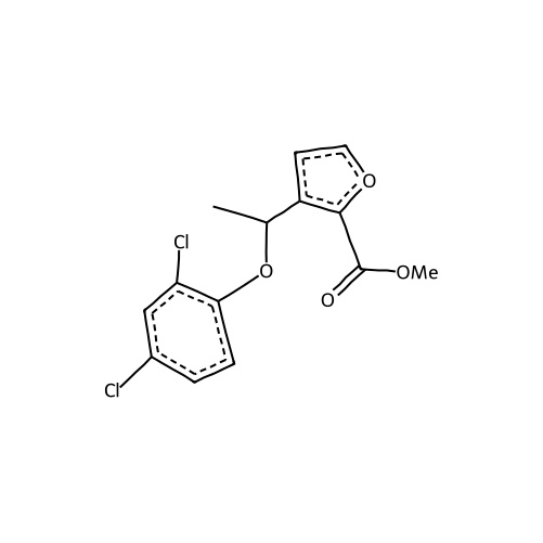 COC(=O)c1occc1C(C)Oc1ccc(Cl)cc1Cl